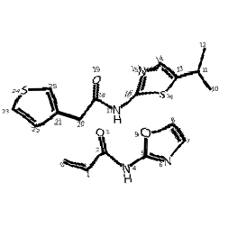 C=CC(=O)Nc1ncco1.CC(C)c1cnc(NC(=O)Cc2ccsc2)s1